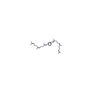 CC(C)=CCCC(C)=CCC/C(C)=C/COC/C=C(\C)CCC=C(C)CCC=C(C)C